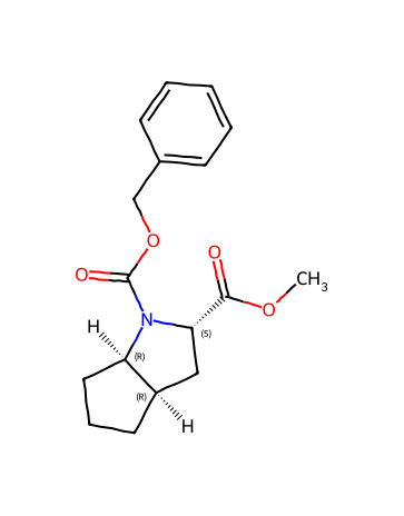 COC(=O)[C@@H]1C[C@H]2CCC[C@H]2N1C(=O)OCc1ccccc1